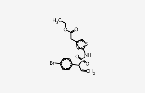 C=CC(c1ccc(Br)cc1)S(=O)(=O)Nc1nc(CC(=O)OCC)cs1